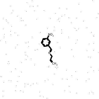 C=CCN=Cc1cccc([N+](=O)[O-])c1